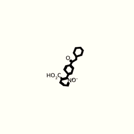 O=C(CC1CCCCC1)c1ccc(-c2c(C(=O)O)ccc[n+]2[O-])cc1